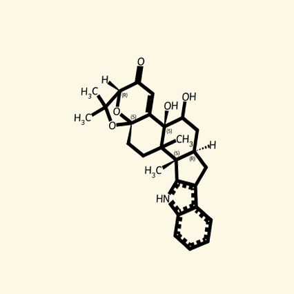 CC1(C)O[C@@]23CCC4(C)[C@@]5(C)c6[nH]c7ccccc7c6C[C@@H]5CC(O)[C@@]4(O)C2=CC(=O)[C@@H]1O3